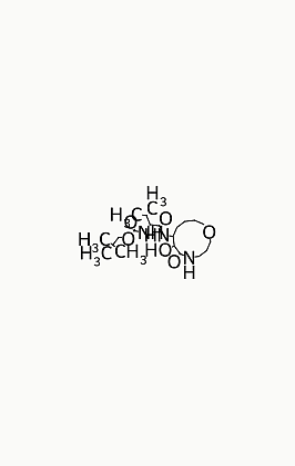 CC(C)C(NC(=O)OCC(C)(C)C)C(=O)NC1CCCCOCCCNC(=O)C1O